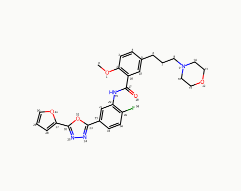 COc1ccc(CCCN2CCOCC2)cc1C(=O)Nc1cc(-c2nnc(-c3ccco3)o2)ccc1F